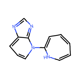 C1=CC=C(n2cccc3ncnc2-3)NC=C1